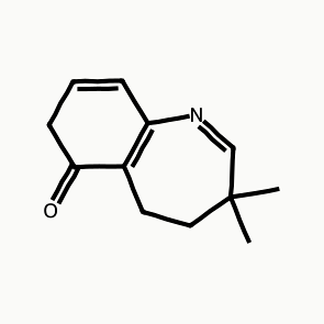 CC1(C)C=NC2=C(CC1)C(=O)CC=C2